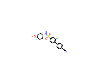 C[C@]1(O)CC[C@H](NS(=O)(=O)c2ccc(-c3ccc(C#N)cc3)c(F)c2)CC1